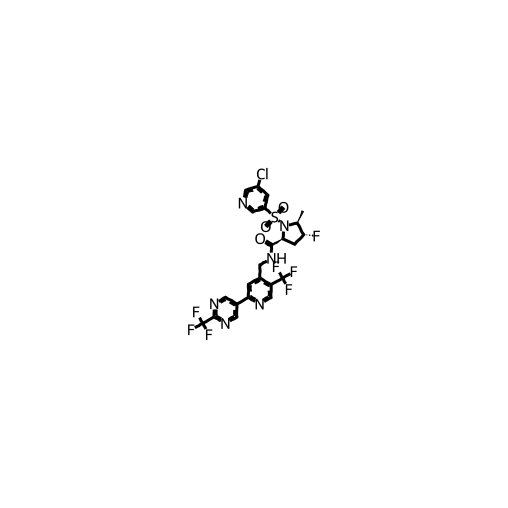 C[C@H]1[C@H](F)C[C@@H](C(=O)NCc2cc(-c3cnc(C(F)(F)F)nc3)ncc2C(F)(F)F)N1S(=O)(=O)c1cncc(Cl)c1